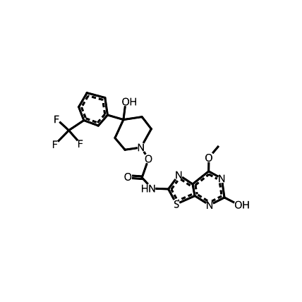 COc1nc(O)nc2sc(NC(=O)ON3CCC(O)(c4cccc(C(F)(F)F)c4)CC3)nc12